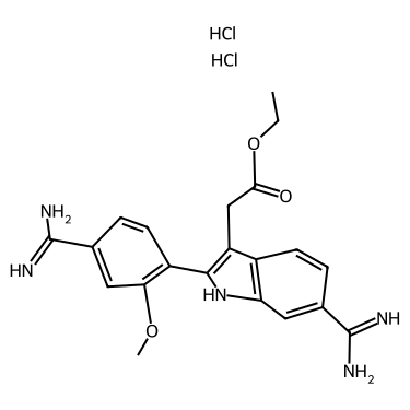 CCOC(=O)Cc1c(-c2ccc(C(=N)N)cc2OC)[nH]c2cc(C(=N)N)ccc12.Cl.Cl